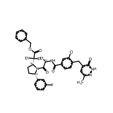 CC[C@@H](NC(=O)c1ccc(Cc2cc(C)n[nH]c2=O)c(Cl)c1)C(=O)N1[C@H](c2cccc(F)c2)CC[C@@H]1C(CC)(CC)C(=O)OCc1ccccc1